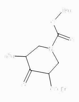 CCCCC1CN(C(=O)OC(C)(C)C)CC(C(=O)OCC)C1=O